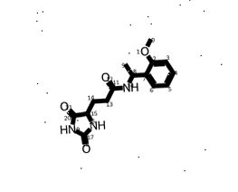 COc1ccccc1C(C)NC(=O)CCC1NC(=O)NC1=O